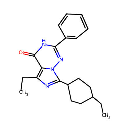 CCc1nc(C2CCC(CC)CC2)n2nc(-c3ccccc3)[nH]c(=O)c12